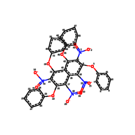 O=[N+]([O-])c1c(Oc2ccccc2)c([N+](=O)[O-])c2c([N+](=O)[O-])c(Oc3ccccc3)c([N+](=O)[O-])c(Oc3ccccc3)c2c1Oc1ccccc1